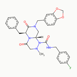 CN1CC(=O)N2[C@@H](Cc3ccccc3)C(=O)N(Cc3ccc4c(c3)OCO4)C[C@@H]2N1C(=O)NCc1ccc(F)cc1